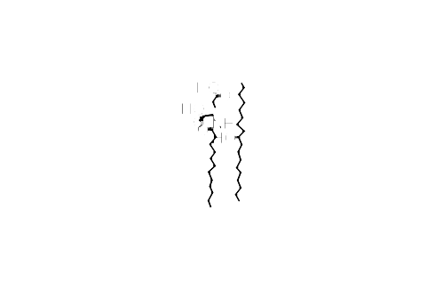 CCCCCCCCCC(O)CCCCCCCC.CCCCCCCCCCCC(=O)N[C@@H](CCC(=O)O)C(=O)O